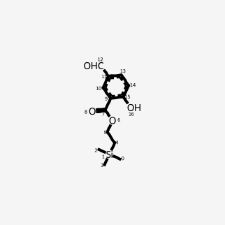 C[Si](C)(C)CCOC(=O)c1cc(C=O)ccc1O